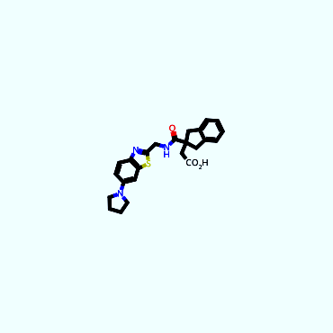 O=C(O)CC1(C(=O)NCc2nc3ccc(N4CCCC4)cc3s2)Cc2ccccc2C1